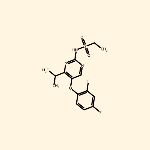 CCS(=O)(=O)Nc1ncc(Oc2ccc(F)cc2F)c(C(C)C)n1